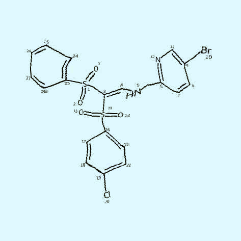 O=S(=O)(C(=CNc1ccc(Br)cn1)S(=O)(=O)c1ccc(Cl)cc1)c1ccccc1